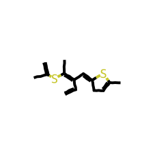 C=CC(/C=C1\CC=C(C)S1)=C(/C)SC(=C)C